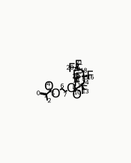 C=C(C)C(=O)OCCOC(=O)C(F)(F)CC(F)(F)CC(F)(F)F